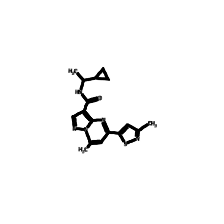 Cc1cc(-c2cc(C)n3ncc(C(=O)NC(C)C4CC4)c3n2)sn1